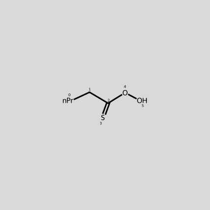 CCCCC(=S)OO